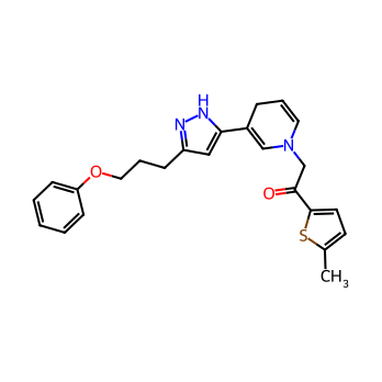 Cc1ccc(C(=O)CN2C=CCC(c3cc(CCCOc4ccccc4)n[nH]3)=C2)s1